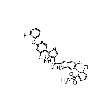 Cc1cc(Oc2ccccc2F)ncc1-n1ncc(C(=O)c2cc3cc(F)c(-c4c(Cl)cccc4S(N)(=O)=O)cc3[nH]2)c1N